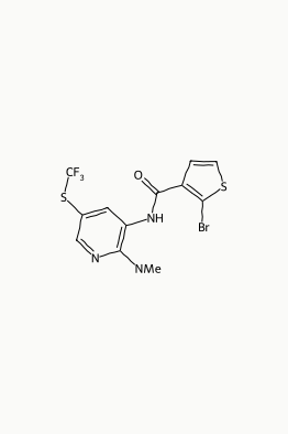 CNc1ncc(SC(F)(F)F)cc1NC(=O)c1ccsc1Br